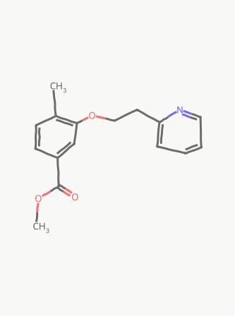 COC(=O)c1ccc(C)c(OCCc2ccccn2)c1